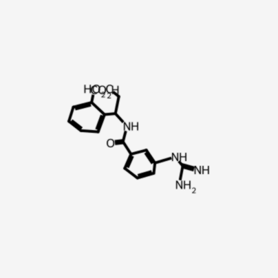 N=C(N)Nc1cccc(C(=O)NC(CC(=O)O)c2ccccc2C(=O)O)c1